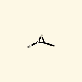 CC1S[S+]1[O-]